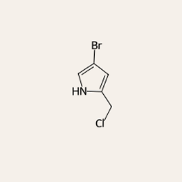 ClCc1cc(Br)c[nH]1